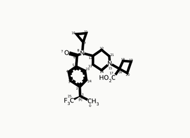 C[C@H](c1ccc(C(=O)N(C2CC2)C2CCN(C3(C(=O)O)CCC3)CC2)cc1)C(F)(F)F